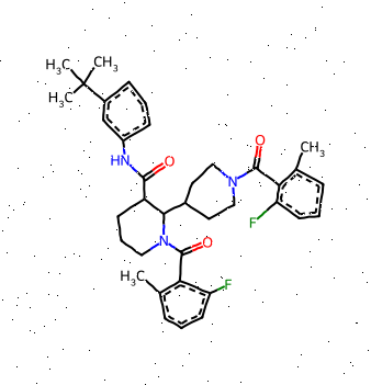 Cc1cccc(F)c1C(=O)N1CCC(C2C(C(=O)Nc3cccc(C(C)(C)C)c3)CCCN2C(=O)c2c(C)cccc2F)CC1